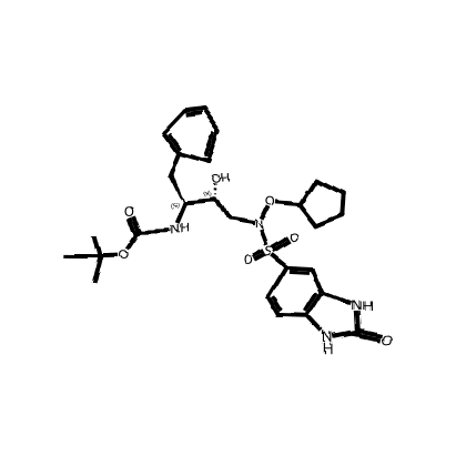 CC(C)(C)OC(=O)N[C@@H](Cc1ccccc1)[C@H](O)CN(OC1CCCC1)S(=O)(=O)c1ccc2[nH]c(=O)[nH]c2c1